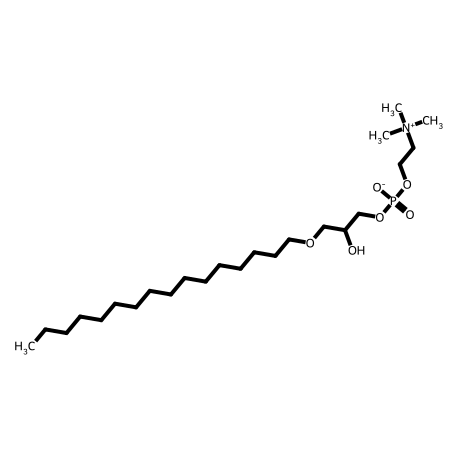 CCCCCCCCCCCCCCCCOCC(O)COP(=O)([O-])OCC[N+](C)(C)C